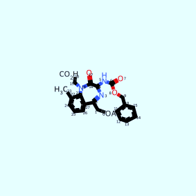 CC(=O)OCC1=NC(NC(=O)OCc2ccccc2)C(=O)N(CC(=O)O)c2c(C)cccc21